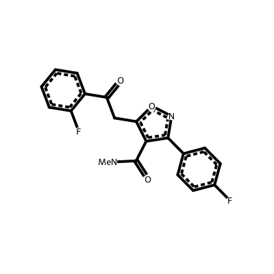 CNC(=O)c1c(-c2ccc(F)cc2)noc1CC(=O)c1ccccc1F